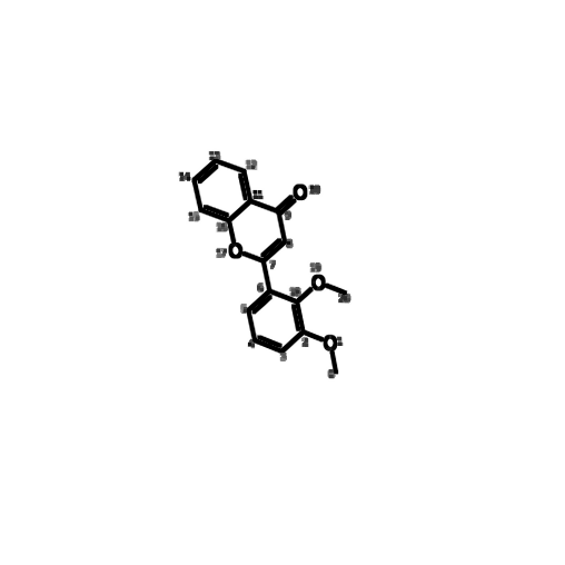 COc1cccc(-c2cc(=O)c3ccccc3o2)c1OC